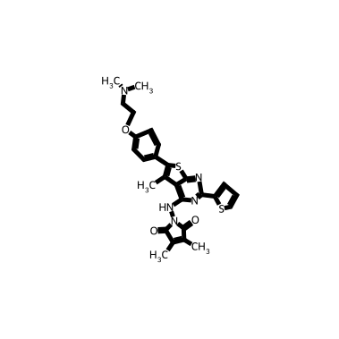 CC1=C(C)C(=O)N(Nc2nc(-c3cccs3)nc3sc(-c4ccc(OCCN(C)C)cc4)c(C)c23)C1=O